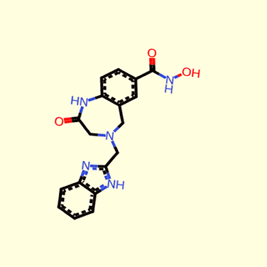 O=C1CN(Cc2nc3ccccc3[nH]2)Cc2cc(C(=O)NO)ccc2N1